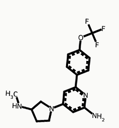 CNC1CCN(c2cc(N)nc(-c3ccc(OC(F)(F)F)cc3)c2)C1